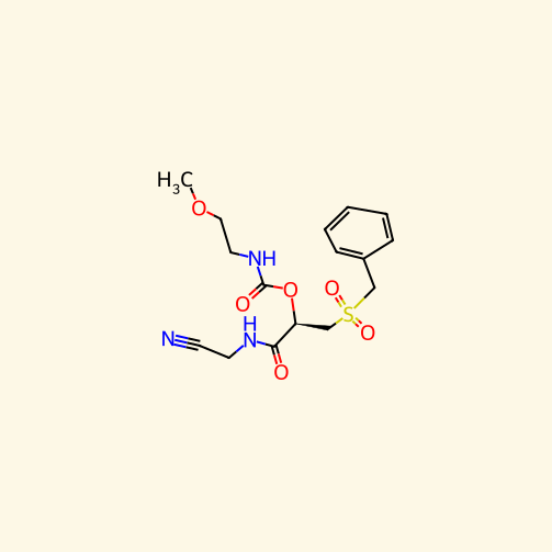 COCCNC(=O)O[C@@H](CS(=O)(=O)Cc1ccccc1)C(=O)NCC#N